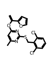 C=C(Oc1cc(C)nc(SCc2c(Cl)cccc2Cl)n1)c1ccco1